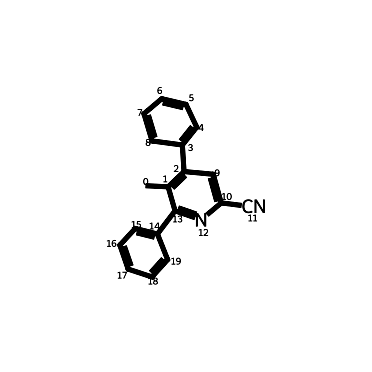 Cc1c(-c2ccccc2)cc(C#N)nc1-c1ccccc1